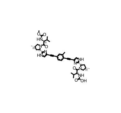 COC(=O)N[C@H](C(=O)N1C[C@@H](C)C[C@H]1c1nc(C#Cc2ccc(C#Cc3c[nH]c([C@@H]4C[C@H](C)CN4C(=O)[C@@H](NC(=O)O)C(C)C)n3)c(C)c2)c[nH]1)C(C)C